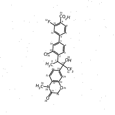 CC(c1ccc(-c2ccc(C(=O)O)c(F)c2)cc1Cl)C(O)(c1ccc2c(c1)OCC(=O)N2C)C(F)(F)F